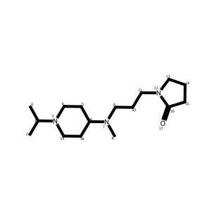 CC(C)N1CCC(N(C)CCCN2CCCC2=O)CC1